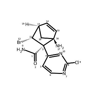 NC(=O)[C@]1(c2ccnc(Cl)n2)[C@H](Br)[C@H]2C=C[C@@]1(N)C2